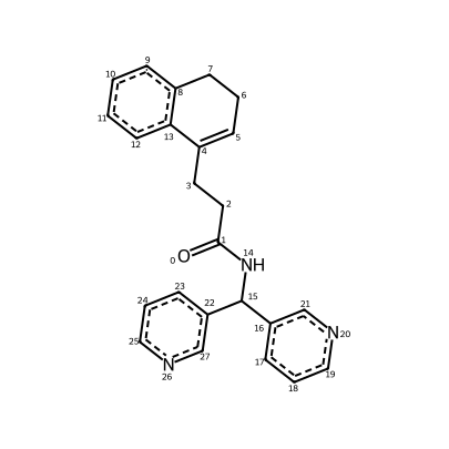 O=C(CCC1=CCCc2[c]cccc21)NC(c1cccnc1)c1cccnc1